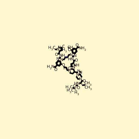 CCn1nc(C)cc1C(=O)Nc1nc2cc(C(N)=O)cc(OCCCN3CCC(c4nnc5n4CCN(C(=O)[C@H](CC(C)C)NC(=O)OC(C)(C)C)C5)CC3)c2n1C/C=C/Cn1c(NC(=O)c2cc(C)n[nH]2)nc2cc(C(N)=O)cc(OC)c21